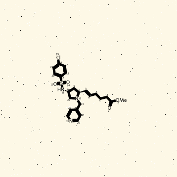 COC(=O)CCCC=C[C@@H]1C[C@@H](NS(=O)(=O)c2ccc(Cl)cc2)CN1Cc1ccncc1